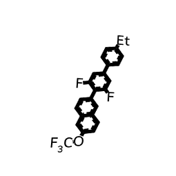 CCc1ccc(-c2cc(F)c(-c3ccc4cc(OC(F)(F)F)ccc4c3)c(F)c2)cc1